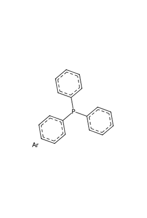 [Ar].c1ccc(P(c2ccccc2)c2ccccc2)cc1